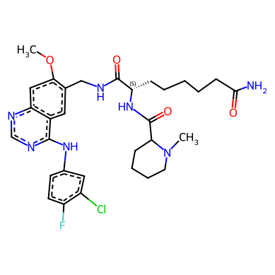 COc1cc2ncnc(Nc3ccc(F)c(Cl)c3)c2cc1CNC(=O)[C@H](CCCCCC(N)=O)NC(=O)C1CCCCN1C